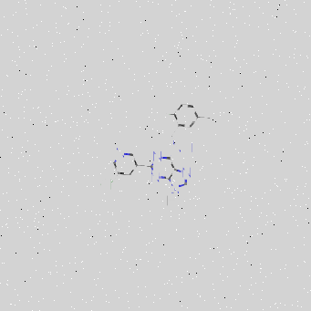 [2H]n1cnc2c(NCc3cc(C)ccc3F)nc(-c3cncc(Cl)c3)nc21